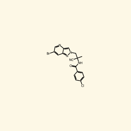 CC(C#N)(Cn1cc2ncc(Br)cc2n1)NC(=O)c1ccc(Cl)cc1